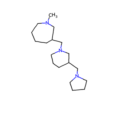 CN1CCCCC(CN2CCCC(CN3CCCC3)C2)C1